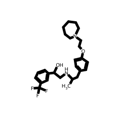 CC(Cc1ccc(OCCN2CCCCCC2)cc1)NCC(O)c1cccc(C(F)(F)F)c1